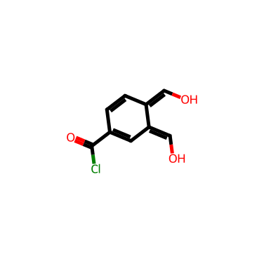 O=C(Cl)c1ccc(=CO)c(=CO)c1